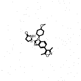 COC1CCC(n2c([C@@H]3CCC(=O)N3)nc3cc(-c4c(C)noc4C)ccc32)CC1